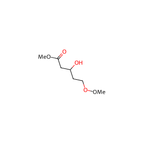 COOCCC(O)CC(=O)OC